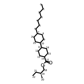 CCCCCCCC1CCC(C2CCC(C(=O)OC[C@@H](C)CC)CC2)CC1